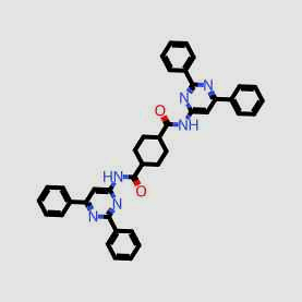 O=C(Nc1cc(-c2ccccc2)nc(-c2ccccc2)n1)C1CCC(C(=O)Nc2cc(-c3ccccc3)nc(-c3ccccc3)n2)CC1